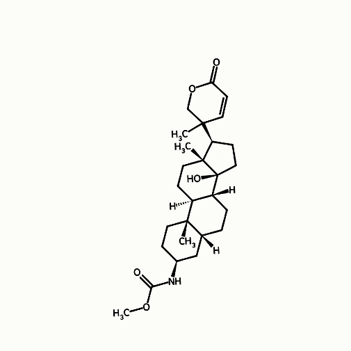 COC(=O)N[C@H]1CC[C@@]2(C)[C@H](CC[C@@H]3[C@@H]2CC[C@]2(C)[C@@H](C4(C)C=CC(=O)OC4)CC[C@]32O)C1